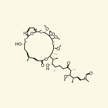 CO[C@H]([C@H](C)/C=C/N(C)C=O)[C@@H](C)C(=O)CC[C@H](C)[C@H](O)[C@H](C)[C@H]1OC(=O)/C=C/C(C)=C/C[C@H](O)C[C@@H]2C=CC[C@@H](C[C@H](OC)[C@@]3(CO3)[C@@H](OC)C[C@@H](OC)[C@@H]1C)O2